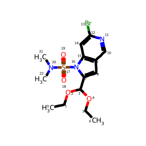 CCOC(OCC)c1cc2cnc(Br)cc2n1S(=O)(=O)N(C)C